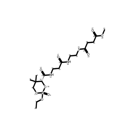 CCOP1(=O)OCC(C)(C)[C@H](C(=O)NCCC(=O)NCCSC(=O)CCC(=O)OC)O1